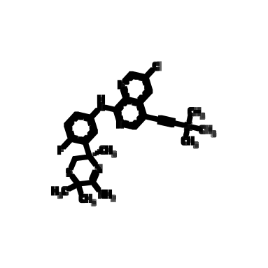 CC1(C)SC[C@@](C)(c2cc(Nc3ncc(C#C[Si](C)(C)C)c4cc(Cl)cnc34)ccc2F)N=C1N